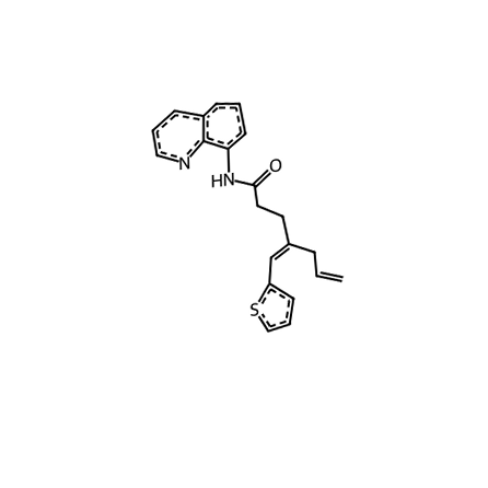 C=CCC(=Cc1cccs1)CCC(=O)Nc1cccc2cccnc12